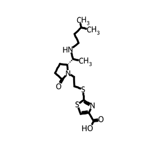 CC(C)CCNC(C)[C@H]1CCC(=O)N1CCSc1nc(C(=O)O)cs1